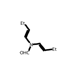 CCC=CN([C]=O)C=CCC